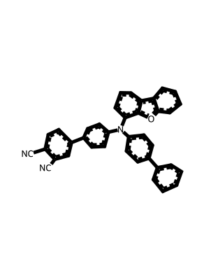 N#Cc1ccc(-c2ccc(N(c3ccc(-c4ccccc4)cc3)c3cccc4c3oc3ccccc34)cc2)cc1C#N